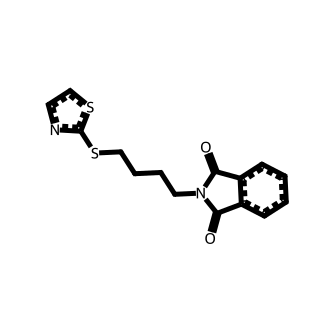 O=C1c2ccccc2C(=O)N1CCCCSc1nccs1